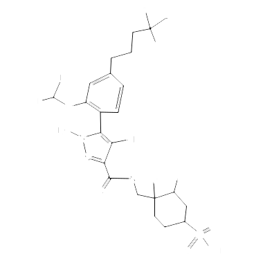 Cn1nc(C(=O)NCC2(O)CCC(S(C)(=O)=O)CC2O)c(Cl)c1-c1ccc(CCCC(F)(F)F)cc1OC(F)F